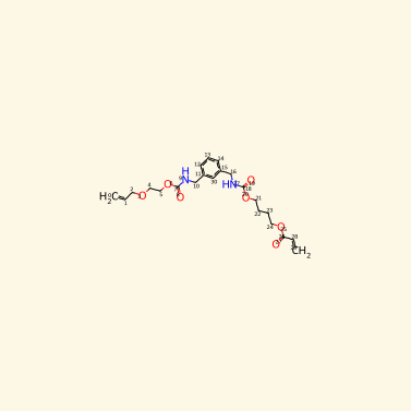 C=CCOCCOC(=O)NCc1cccc(CNC(=O)OCCCCOC(=O)C=C)c1